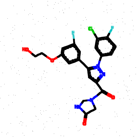 O=C1CN(C(=O)c2cc(-c3cc(F)cc(OCCO)c3)n(-c3ccc(F)c(Cl)c3)n2)CN1